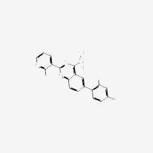 CNc1nc(-c2cccnc2F)nc2ccc(-c3ccc(F)cc3F)cc12